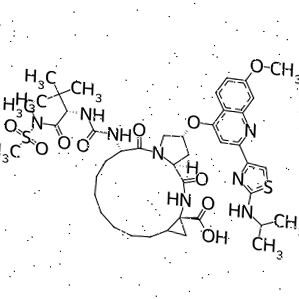 COc1ccc2c(O[C@@H]3C[C@H]4C(=O)N[C@]5(C(=O)O)CC5CCCCCCC[C@H](NC(=O)N[C@H](C(=O)N(C)S(C)(=O)=O)C(C)(C)C)C(=O)N4C3)cc(-c3csc(NC(C)C)n3)nc2c1